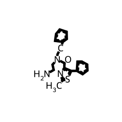 Cc1nc(C(=O)N(CCN)CCc2ccccc2)c(-c2ccccc2)s1